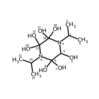 CC(C)N1C(O)C(O)(O)N(C(C)C)C(O)(O)C1(O)O